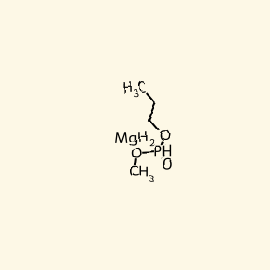 CCCO[PH](=O)OC.[MgH2]